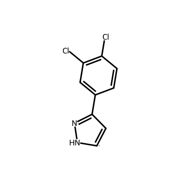 Clc1ccc(-c2c[c][nH]n2)cc1Cl